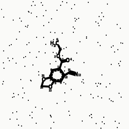 CCOC(=O)c1cc2c(cc1C#N)OCO2